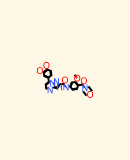 COc1ccc(-c2ccnc3cc(C(=O)Nc4ccc(C(=O)N5CCOCC5)c(OC)c4)nn23)cc1OC